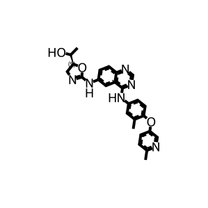 Cc1ccc(Oc2ccc(Nc3ncnc4ccc(NC5=NC[C@@H](C(C)O)O5)cc34)cc2C)cn1